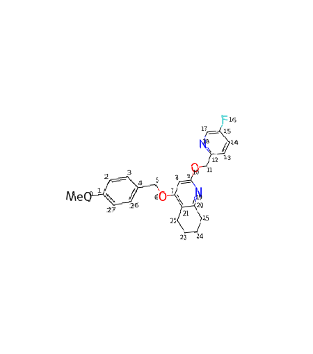 COc1ccc(COc2cc(OCc3ccc(F)cn3)nc3c2CCCC3)cc1